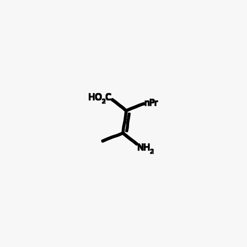 CCCC(C(=O)O)=C(C)N